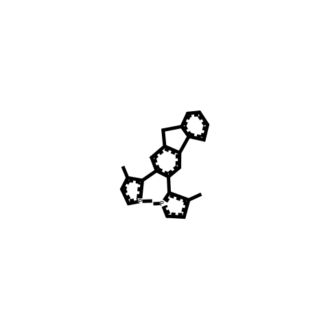 Cc1ccp(C)c1-c1[c]c2c(cc1-c1c(C)ccp1C)-c1ccccc1C2